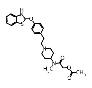 CC(=O)OCC(=O)N(C)C1CCN(CCc2ccc(OC3Nc4ccccc4S3)cc2)CC1